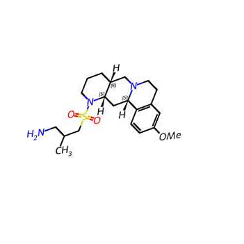 COc1ccc2c(c1)CCN1C[C@H]3CCCN(S(=O)(=O)CC(C)CN)[C@H]3C[C@@H]21